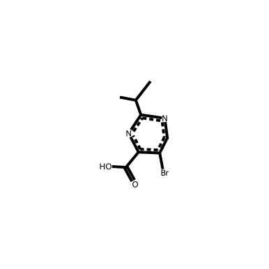 CC(C)c1ncc(Br)c(C(=O)O)n1